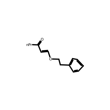 CCCC(=O)/C=C/OCCc1ccccc1